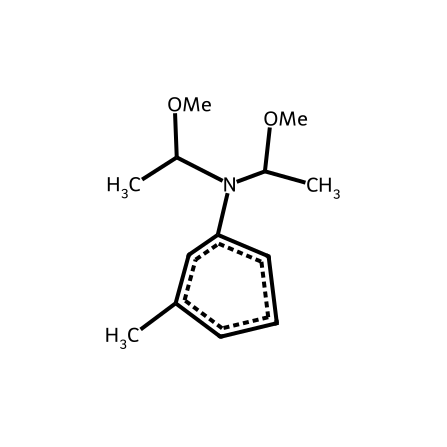 COC(C)N(c1cccc(C)c1)C(C)OC